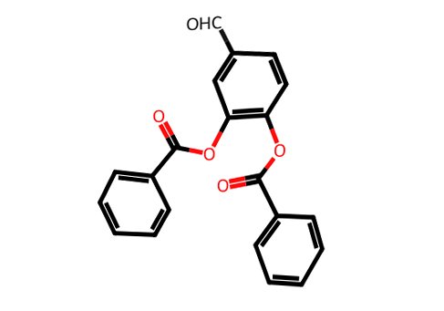 O=Cc1ccc(OC(=O)c2ccccc2)c(OC(=O)c2ccccc2)c1